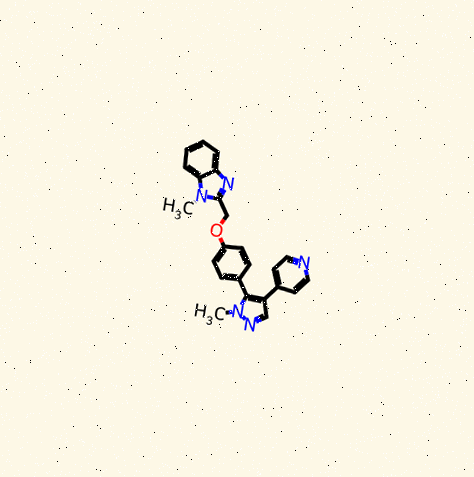 Cn1ncc(-c2ccncc2)c1-c1ccc(OCc2nc3ccccc3n2C)cc1